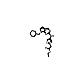 CCOC(=O)Cn1cc(Nc2ncc3ccn(CC4CCCCC4)c3n2)cn1